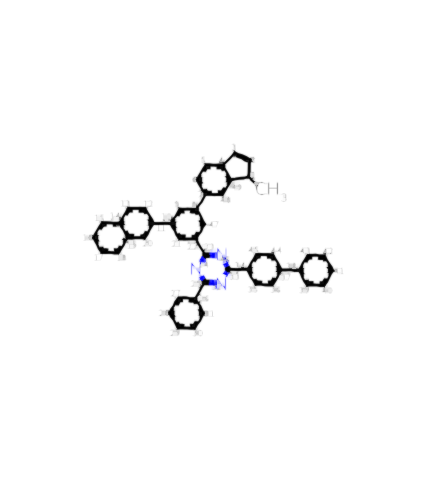 CC1C=Cc2ccc(-c3cc(-c4ccc5ccccc5c4)cc(-c4nc(-c5ccccc5)nc(-c5ccc(-c6ccccc6)cc5)n4)c3)cc21